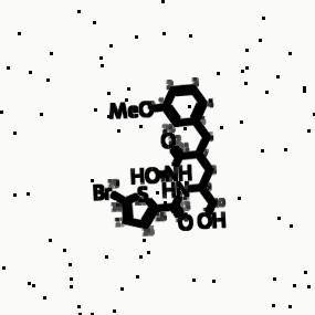 COc1cccc(CC(CC(CO)NC(=O)c2ccc(Br)s2)C(=O)NO)c1